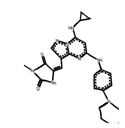 CN1C(=O)NC(=Cc2cnn3c(NC4CC4)cc(Nc4ccc(N5CCOCC5)cc4)nc23)C1=O